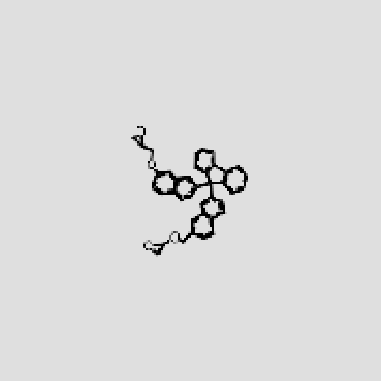 c1ccc2c(c1)-c1ccccc1C2(c1ccc2ccc(COC3CO3)cc2c1)c1ccc2ccc(OCC3CO3)cc2c1